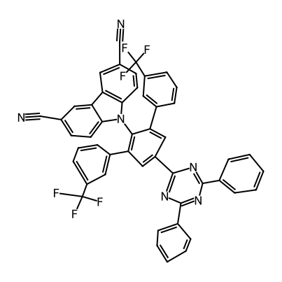 N#Cc1ccc2c(c1)c1cc(C#N)ccc1n2-c1c(-c2cccc(C(F)(F)F)c2)cc(-c2nc(-c3ccccc3)nc(-c3ccccc3)n2)cc1-c1cccc(C(F)(F)F)c1